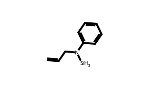 C=CCN([SiH3])c1ccccc1